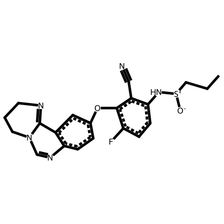 CCC[S+]([O-])Nc1ccc(F)c(Oc2ccc3c(c2)C2=NCCCN2C=N3)c1C#N